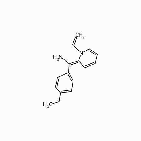 C=CN1C=CC=C/C1=C(/N)c1ccc(CC)cc1